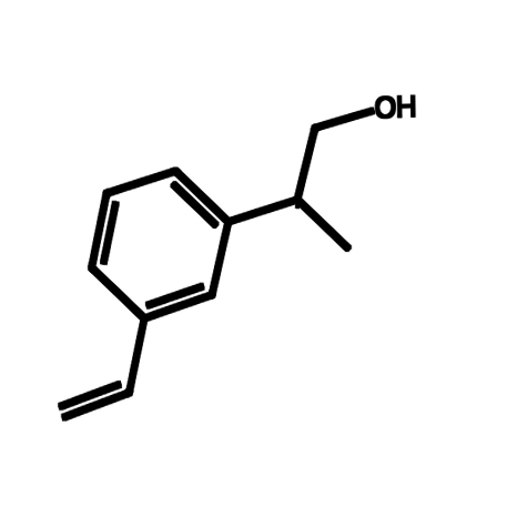 C=Cc1cccc([C](C)CO)c1